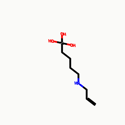 C=CCNCCCC[Si](O)(O)O